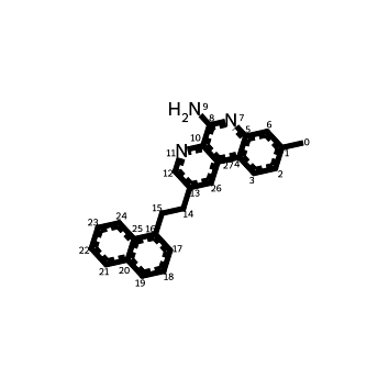 Cc1ccc2c(c1)nc(N)c1ncc(CCc3cccc4ccccc34)cc12